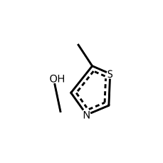 CO.Cc1cncs1